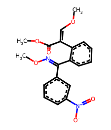 CO/C=C(/C(=O)OC)c1ccccc1C(=NOC)c1cccc([N+](=O)[O-])c1